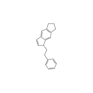 C1=CC(CCc2ccccc2)c2cc3c(cc21)CCC3